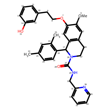 COc1cc2c(cc1OCCc1cccc(O)c1)C(c1ccc(C)cc1C)N(C(=O)NCc1ccccn1)CC2